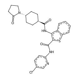 O=C(Nc1ccc(Cl)cn1)c1sc2ccccc2c1NC(=O)[C@H]1CC[C@H](N2CCCC2=O)CC1